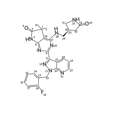 CC1(C)C(=O)Nc2nc(-c3nn(Cc4ccccc4F)c4ncccc34)nc(NC[C@H]3CNC(=O)C3)c21